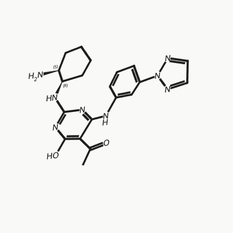 CC(=O)c1c(O)nc(N[C@@H]2CCCC[C@@H]2N)nc1Nc1cccc(-n2nccn2)c1